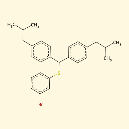 CC(C)Cc1ccc(C(Sc2cccc(Br)c2)c2ccc(CC(C)C)cc2)cc1